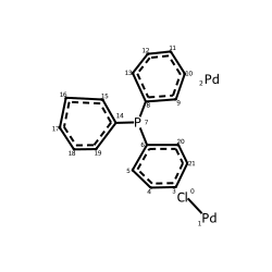 [Cl][Pd].[Pd].c1ccc(P(c2ccccc2)c2ccccc2)cc1